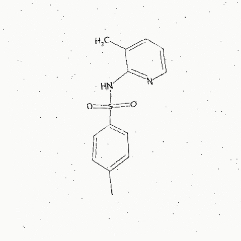 Cc1cccnc1NS(=O)(=O)c1ccc(I)cc1